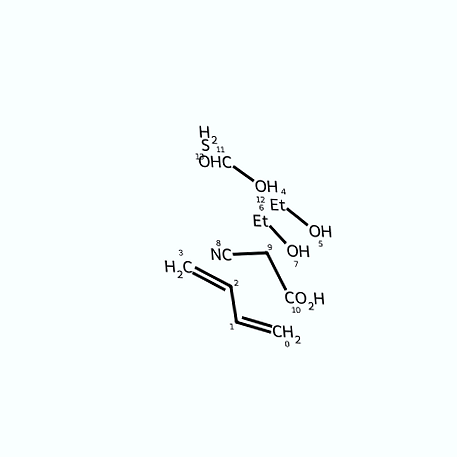 C=CC=C.CCO.CCO.N#CCC(=O)O.O=CO.S